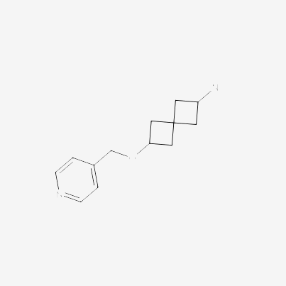 NC1CC2(C1)CC(OCc1ccncc1)C2